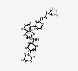 CN(C)CCOc1ccnc(-c2cccc3cnc(Nc4ccc(N5CCOCC5)nc4)nc23)c1